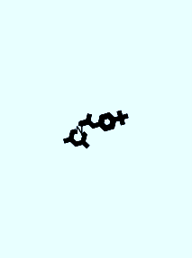 CC(=CN1CC(C)CC(C)C1)Cc1ccc(C(C)(C)C)cc1